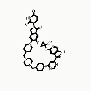 CC1(Oc2cc3c(-c4cc(N5CCC(CN6CCN(CC7CCN(c8cc9c(cc8F)C(=O)N(C8CCC(=O)NC8=O)C9)CC7)CC6)CC5)ncn4)n[nH]c3cn2)CC1